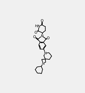 O=C1CCC(N2C(=O)c3ccc(N4CCCC5(C4)CN(C4CCCCC4)C5)cc3C2=O)C(=O)N1